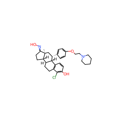 C[C@]12C[C@H](c3ccc(OCCN4CCCCC4)cc3)[C@@H]3c4ccc(O)c(Cl)c4CC[C@H]3[C@@H]1CCC2=NO